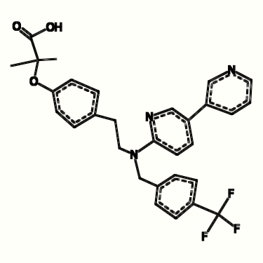 CC(C)(Oc1ccc(CCN(Cc2ccc(C(F)(F)F)cc2)c2ccc(-c3cccnc3)cn2)cc1)C(=O)O